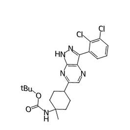 CC1(NC(=O)OC(C)(C)C)CCC(c2cnc3c(-c4cccc(Cl)c4Cl)n[nH]c3n2)CC1